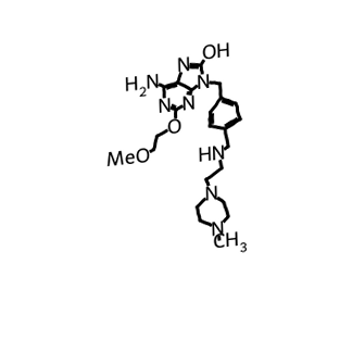 COCCOc1nc(N)c2nc(O)n(Cc3ccc(CNCCN4CCN(C)CC4)cc3)c2n1